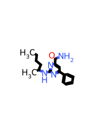 CCCCC(C)Nc1nc(C(N)=O)cc(-c2ccccc2)n1